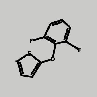 Fc1cccc(F)c1Oc1cc[c]s1